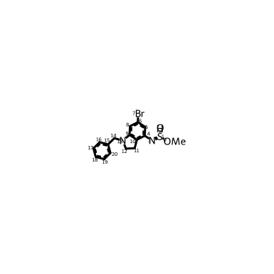 CO[SH](=O)=Nc1cc(Br)cc2c1CCN2Cc1ccccc1